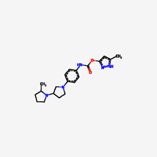 Cc1cc(OC(=O)Nc2ccc(N3CCC(N4CCCC4C)C3)cc2)n[nH]1